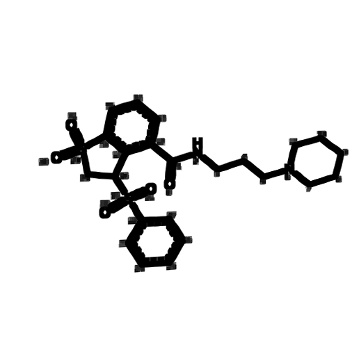 O=C(NCCCN1CCCCC1)c1cccc2c1C(S(=O)(=O)c1ccccc1)CS2(=O)=O